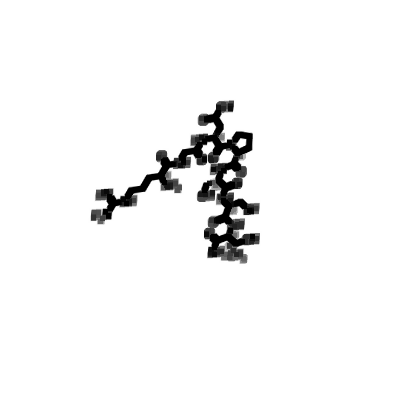 C[C@@H](O)[C@H](NC(=O)[C@H](CS)NC(=O)[C@H](CO)NC(=O)[C@@H]1CCCN1C(=O)[C@H](CC(=O)O)NC(=O)CNC(=O)[C@@H](N)CCCNC(=N)N)C(N)=O